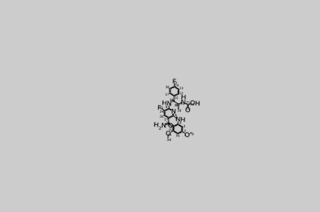 COc1cc(Nc2nc(N[C@H](c3ccc(F)cc3)[C@H](C)NC(=O)O)c(F)cc2C(N)=O)cc(OC)c1